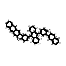 c1ccc2cc3cc4c(cc3cc2c1)oc1ccc(-c2c3ccccc3c(-c3ccc5oc6cc7ccccc7cc6c5c3)c3ccccc23)cc14